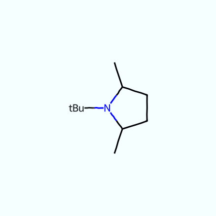 CC1CCC(C)N1C(C)(C)C